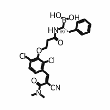 CN(C)C(=O)C(C#N)=Cc1ccc(Cl)c(OCCC(=O)N[C@@H](Cc2ccccc2)B(O)O)c1Cl